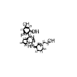 Cc1cc(O)c(-c2nnc(N[C@@H]3CCCN(CCO)C3)n3cccc23)c(F)c1